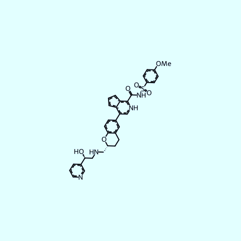 COc1ccc(S(=O)(=O)NC(=O)c2[nH]cc(-c3ccc4c(c3)CC[C@H](CNC[C@H](O)c3cccnc3)O4)c3cccc2-3)cc1